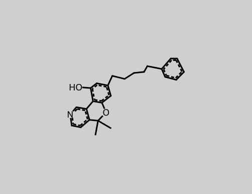 CC1(C)Oc2cc(CCCCCc3ccccc3)cc(O)c2-c2cnccc21